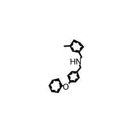 Cc1cccc(CNCc2ccc(Oc3ccccc3)cc2)c1